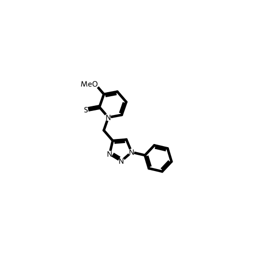 COc1cccn(Cc2cn(-c3ccccc3)nn2)c1=S